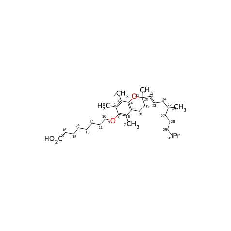 Cc1c(C)c2c(c(C)c1OCCCCCCCC(=O)O)CCC(C)(C=CCC(C)CCCC(C)C)O2